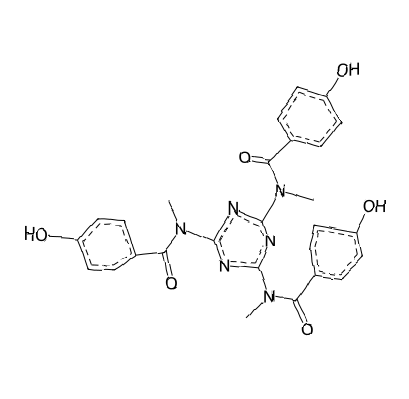 CN(C(=O)c1ccc(O)cc1)c1nc(N(C)C(=O)c2ccc(O)cc2)nc(N(C)C(=O)c2ccc(O)cc2)n1